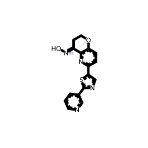 O/N=C1\CCOc2ccc(-c3cnc(-c4cccnc4)s3)nc21